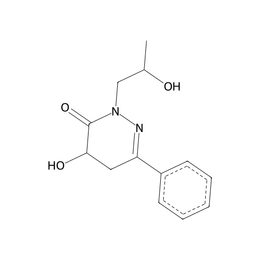 CC(O)CN1N=C(c2ccccc2)CC(O)C1=O